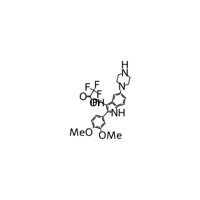 COc1ccc(-c2[nH]c3ccc(N4CCNCC4)cc3c2C(C)C)cc1OC.O=C(O)C(F)(F)F